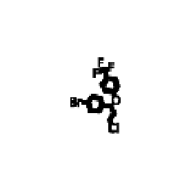 FC(F)(F)c1ccc(OC(CCCl)c2ccc(Br)cc2)cc1